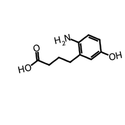 Nc1ccc(O)cc1CCCC(=O)O